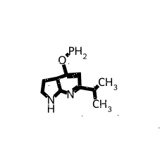 CC(C)C1=NC2NCCC2C(OP)=C1